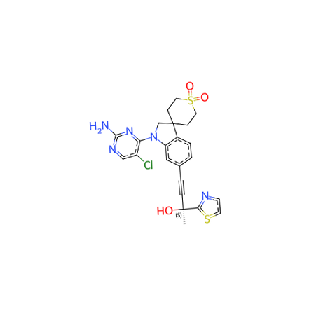 C[C@](O)(C#Cc1ccc2c(c1)N(c1nc(N)ncc1Cl)CC21CCS(=O)(=O)CC1)c1nccs1